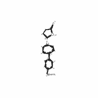 CCCCCc1ccc(-c2ccc([C@@H]3CCC(=O)O3)cc2)cc1